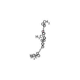 C=CC(=O)OCCCCOc1ccc2c(c1)C(C)c1cc(OC(=O)c3ccc(OCCCCCCOC(=O)C(=C)CO)cc3)ccc1-2